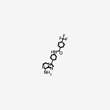 Nc1nccn2c(-c3ccc(NC(=O)c4ccc(C(F)(F)F)cc4)cc3)cnc12